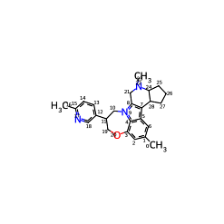 Cc1cc2c3c(c1)c1c(n3CC(c3ccc(C)nc3)CO2)CN(C)C2CCCC12